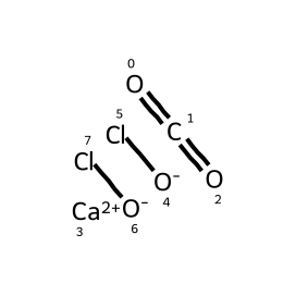 O=C=O.[Ca+2].[O-]Cl.[O-]Cl